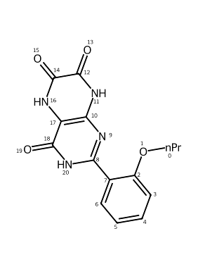 CCCOc1ccccc1-c1nc2[nH]c(=O)c(=O)[nH]c2c(=O)[nH]1